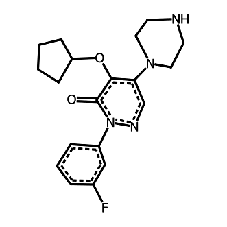 O=c1c(OC2CCCC2)c(N2CCNCC2)cnn1-c1cccc(F)c1